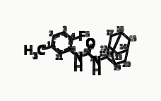 Cc1ccc(F)c(NC(=O)NC2C3CC4CC(C3)CC2C4)c1